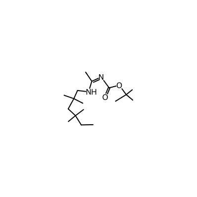 CCC(C)(C)CC(C)(C)CN/C(C)=N\C(=O)OC(C)(C)C